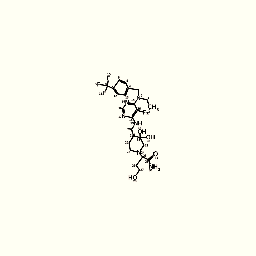 CCN(Cc1ccc(C(F)(F)F)cc1)c1ncnc(NC[C@@H]2CCN(C(CCO)C(N)=O)CC2(O)O)c1F